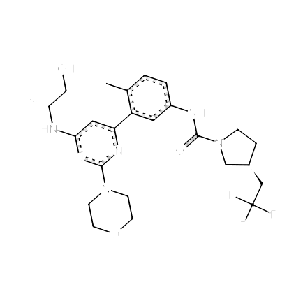 Cc1ccc(NC(=O)N2CC[C@@H](CC(F)(F)F)C2)cc1-c1cc(N[C@H](C)CO)nc(N2CCOCC2)n1